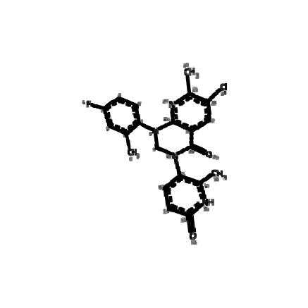 Cc1cc(F)ccc1N1CN(c2ccc(=O)[nH]c2C)C(=O)c2cc(Cl)c(C)nc21